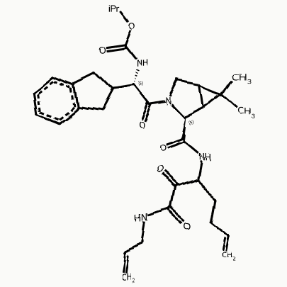 C=CCCC(NC(=O)[C@@H]1C2C(CN1C(=O)[C@@H](NC(=O)OC(C)C)C1Cc3ccccc3C1)C2(C)C)C(=O)C(=O)NCC=C